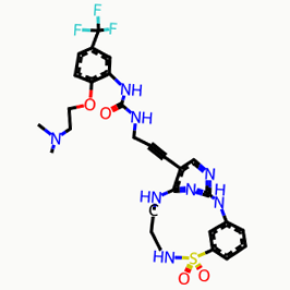 CN(C)CCOc1ccc(C(F)(F)F)cc1NC(=O)NCC#Cc1cnc2nc1NCCCNS(=O)(=O)c1cccc(c1)N2